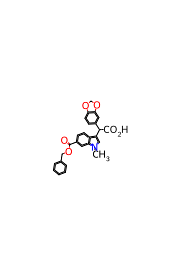 Cn1cc(C(C(=O)O)c2ccc3c(c2)OCO3)c2ccc(C(=O)OCc3ccccc3)cc21